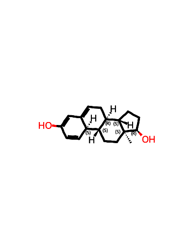 C[C@]12CC[C@H]3[C@@H](CC=C4C=C(O)C=C[C@@H]43)[C@@H]1CC[C@H]2O